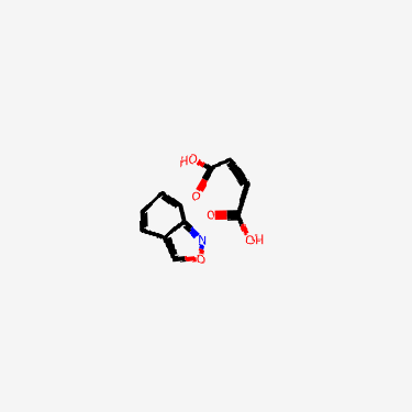 O=C(O)/C=C\C(=O)O.c1ccc2nocc2c1